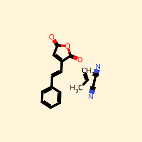 C=CC.N#CC#N.O=C1C=C(C=Cc2ccccc2)C(=O)O1